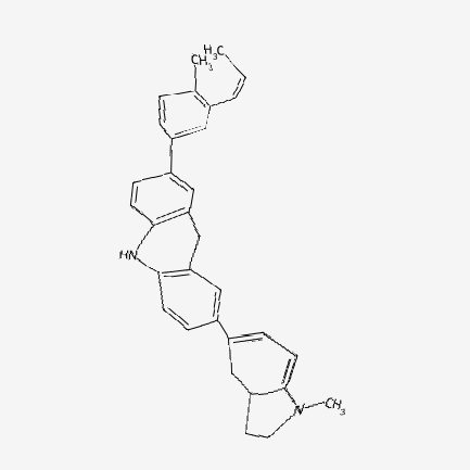 C/C=C\c1cc(-c2ccc3c(c2)Cc2cc(C4=CC=C5C(CCN5C)C4)ccc2N3)ccc1C